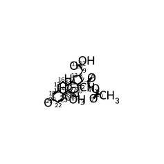 CC(=O)OCC(=O)[C@H]1[C@H](CC(=O)O)C[C@H]2[C@@H]3CCC4=CC(=O)C=C[C@]4(C)[C@@]3(F)[C@@H](O)C[C@@]21C